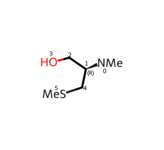 CN[C@H](CO)CSC